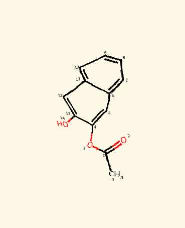 CC(=O)Oc1cc2ccccc2cc1O